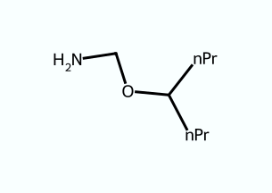 CCCC(CCC)OCN